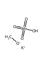 C[O-].[K+].[O]=[Mn](=[O])(=[O])[OH]